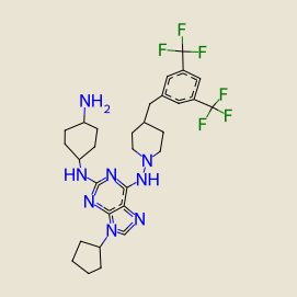 NC1CCC(Nc2nc(NN3CCC(Cc4cc(C(F)(F)F)cc(C(F)(F)F)c4)CC3)c3ncn(C4CCCC4)c3n2)CC1